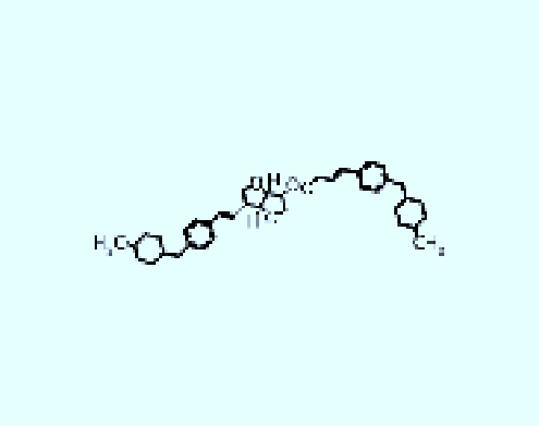 CC1CCC(Cc2ccc(C=C[C@@H]3CO[C@H]4[C@@H]3OC[C@@H]4OOC/C=C/c3ccc(CC4CCC(C)CC4)cc3)cc2)CC1